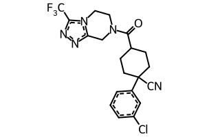 N#CC1(c2cccc(Cl)c2)CCC(C(=O)N2CCn3c(nnc3C(F)(F)F)C2)CC1